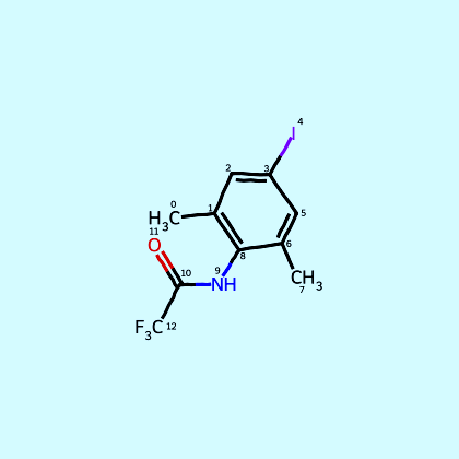 Cc1cc(I)cc(C)c1NC(=O)C(F)(F)F